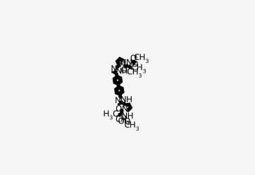 COC(=O)NC(C(=O)N1CCCC1c1cnc(-c2ccc(-c3ccc(-c4cnc(C5CCCN5C(=O)C(NC(=O)OC)C(C)C)[nH]4)cc3)cc2)[nH]1)C(C)C